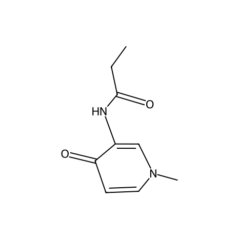 CCC(=O)Nc1cn(C)ccc1=O